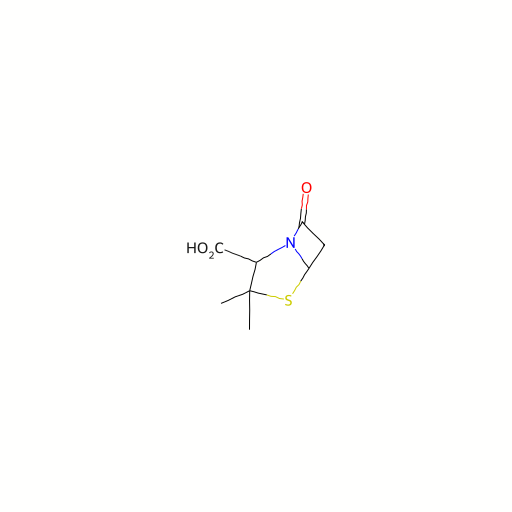 CC1(C)SC2CC(=O)N2C1C(=O)O